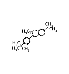 CC(C)c1ccc2c(c1)CN(C)C(c1ccc(C(C)(C)C)cc1)=C2